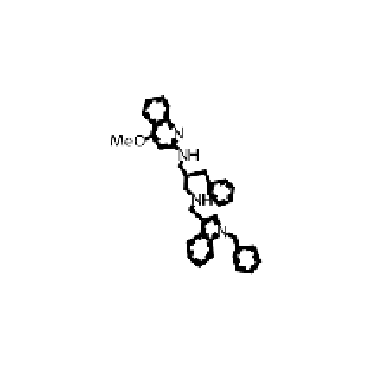 COc1cc(NCC(CNCc2cn(Cc3ccccc3)c3ccccc23)Cc2ccccc2)nc2ccccc12